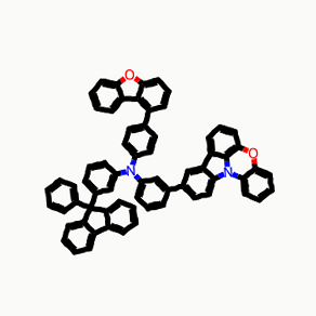 c1ccc(C2(c3cccc(N(c4ccc(-c5cccc6oc7ccccc7c56)cc4)c4cccc(-c5ccc6c(c5)c5cccc7c5n6-c5ccccc5O7)c4)c3)c3ccccc3-c3ccccc32)cc1